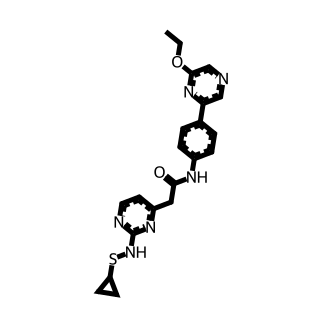 CCOc1cncc(-c2ccc(NC(=O)Cc3ccnc(NSC4CC4)n3)cc2)n1